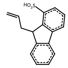 C=CCC1c2ccccc2-c2cccc(S(=O)(=O)O)c21